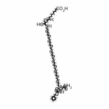 CCCCCCCCCCCC1(CCCCCCCCCCC(=O)O)C(O)C1NCCOCCOCCOCCOCCOCCOCCOCCOCCOCCOCCOCCNC(=O)[C@H](CCC(N)=O)NC(=O)OCc1ccccc1